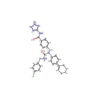 O=C(Nc1nn[nH]n1)c1ccc(CN(C(=O)NCc2ccc(F)cc2)c2ccc(C3=CCCCC3)cc2)cc1